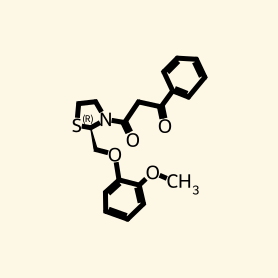 COc1ccccc1OC[C@H]1SCCN1C(=O)CC(=O)c1ccccc1